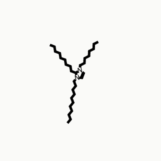 CCCCCCCCCCCN1C=CN(CCCCCCCC)C1CCCCCCCCC